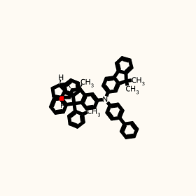 Cc1ccccc1C(c1ccccc1)(c1ccccc1)c1ccc(N(c2ccc(-c3ccccc3)cc2)c2ccc3c(c2)C(C)(C)c2ccccc2-3)cc1[C@@H](C)[C@H]1C[C@@H]2CC[C@@H](C2)C1